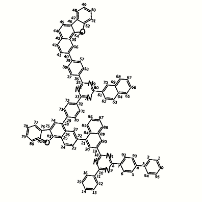 c1ccc(-c2ccc(-c3nc(-c4ccccc4)nc(-c4cc(-c5ccc6c(c5)c(-c5ccc(-c7nc(-c8ccc(-c9ccc%10ccc%11c%12ccccc%12oc%11c%10c9)cc8)nc(-c8ccc9ccccc9c8)n7)cc5)cc5c7ccccc7oc65)c5ccccc5c4)n3)cc2)cc1